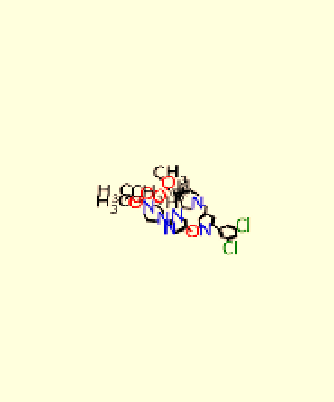 CCOC(=O)[C@@H]1[C@@H]2CCN(Cc3cc(Oc4cnc(N5CCCN(C(=O)OC(C)(C)C)CC5)nc4)nc(-c4cc(Cl)cc(Cl)c4)c3)CC[C@@H]21